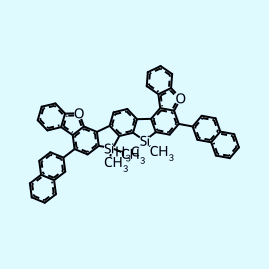 C[Si]1(C)c2cc(-c3ccc4ccccc4c3)c3c(oc4ccccc43)c2-c2ccc3c(c21)[Si](C)(C)c1cc(-c2ccc4ccccc4c2)c2oc4ccccc4c2c1-3